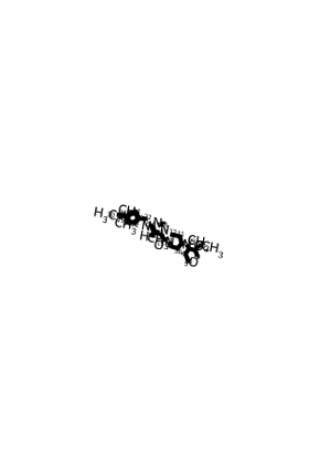 COC1COCCC1N(C)C1CCN(C(=O)c2ncnc(NCc3ccc(C(C)(C)C)cc3)c2C)CC1